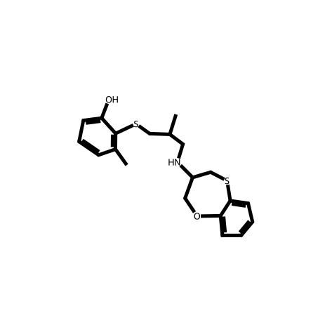 Cc1cccc(O)c1SCC(C)CNC1COc2ccccc2SC1